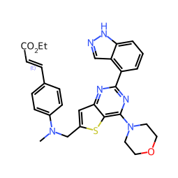 CCOC(=O)/C=C/c1ccc(N(C)Cc2cc3nc(-c4cccc5[nH]ncc45)nc(N4CCOCC4)c3s2)cc1